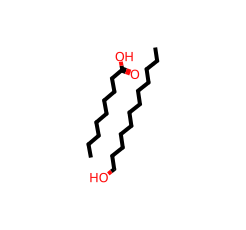 CCCCCCCCC(=O)O.CCCCCCCCCCCCO